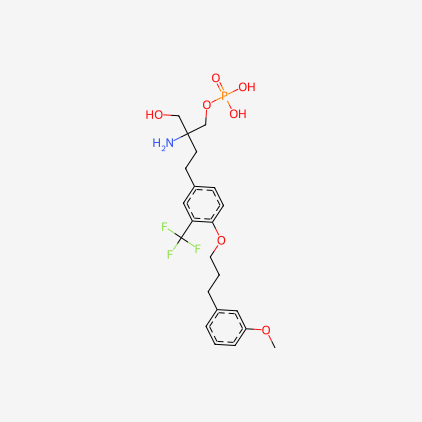 COc1cccc(CCCOc2ccc(CCC(N)(CO)COP(=O)(O)O)cc2C(F)(F)F)c1